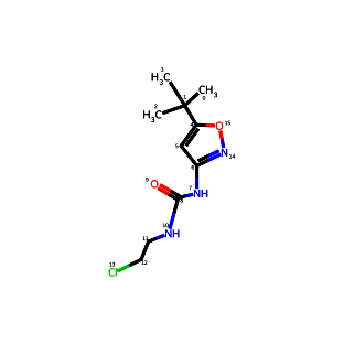 CC(C)(C)c1cc(NC(=O)NCCCl)no1